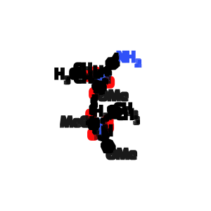 COc1ccc(C2=CN3C(=O)c4cc(OC)c(OCCCCCOc5cc6c(cc5OC)C(=O)N5C=C(c7ccc(CN)cc7)C[C@H]5C(=O)N6COCC[Si](C)(C)C)cc4N(COCC[Si](C)(C)C)C(=O)[C@@H]3C2)cc1